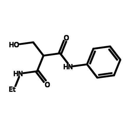 CCNC(=O)C(CO)C(=O)Nc1ccccc1